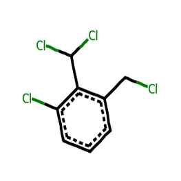 ClCc1cccc(Cl)c1C(Cl)Cl